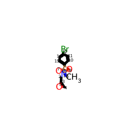 CN(CC1CO1)S(=O)(=O)c1ccc(Br)cc1